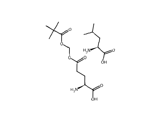 CC(C)(C)C(=O)OCOC(=O)CC[C@H](N)C(=O)O.CC(C)C[C@H](N)C(=O)O